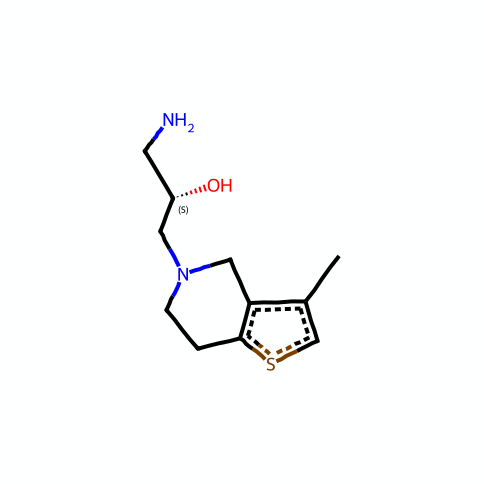 Cc1csc2c1CN(C[C@@H](O)CN)CC2